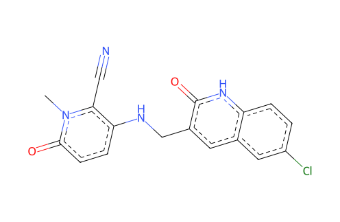 Cn1c(C#N)c(NCc2cc3cc(Cl)ccc3[nH]c2=O)ccc1=O